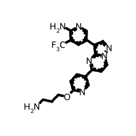 NCCCOc1ccc(-c2ccn3ncc(-c4cnc(N)c(C(F)(F)F)c4)c3n2)cn1